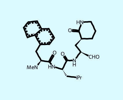 CN[C@@H](Cc1cccc2ccccc12)C(=O)N[C@@H](CC(C)C)C(=O)N[C@H](C=O)C[C@@H]1CCCNC1=O